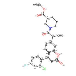 CCCCCCCOC(=O)[C@H]1CCCN(C(=O)C(C=O)c2ccc3c(-c4ccc(F)cc4Cl)cc(=O)oc3c2)C1